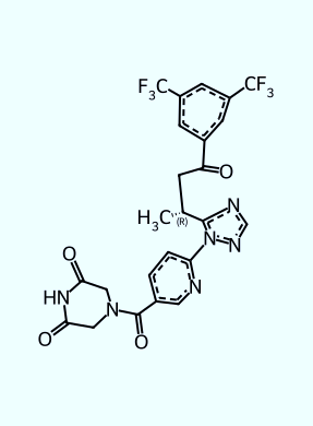 C[C@H](CC(=O)c1cc(C(F)(F)F)cc(C(F)(F)F)c1)c1ncnn1-c1ccc(C(=O)N2CC(=O)NC(=O)C2)cn1